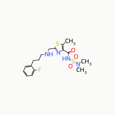 Cc1sc(CNCCCc2ccccc2F)nc1C(=O)NS(=O)(=O)N(C)C